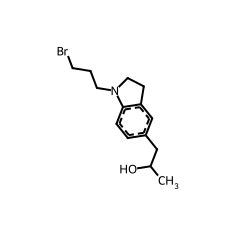 CC(O)Cc1ccc2c(c1)CCN2CCCBr